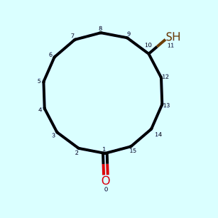 O=C1CCCCCCCCC(S)CCCC1